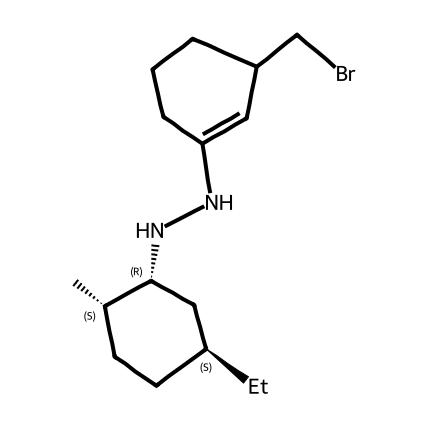 CC[C@H]1CC[C@H](C)[C@H](NNC2=CC(CBr)CCC2)C1